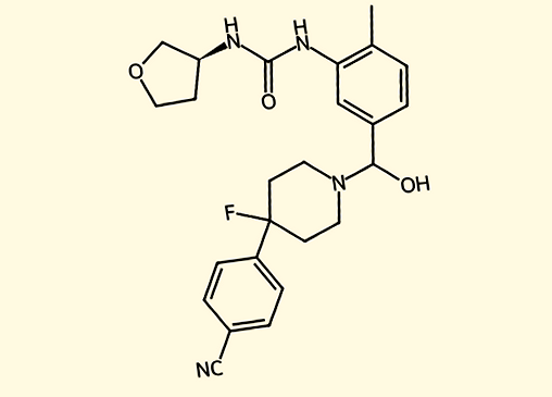 Cc1ccc(C(O)N2CCC(F)(c3ccc(C#N)cc3)CC2)cc1NC(=O)N[C@H]1CCOC1